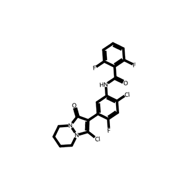 O=C(Nc1cc(-c2c(Cl)n3n(c2=O)CCCC3)c(F)cc1Cl)c1c(F)cccc1F